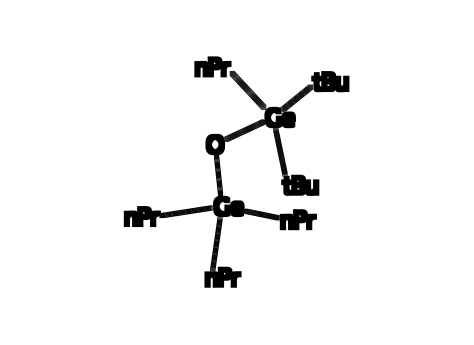 CC[CH2][Ge]([CH2]CC)([CH2]CC)[O][Ge]([CH2]CC)([C](C)(C)C)[C](C)(C)C